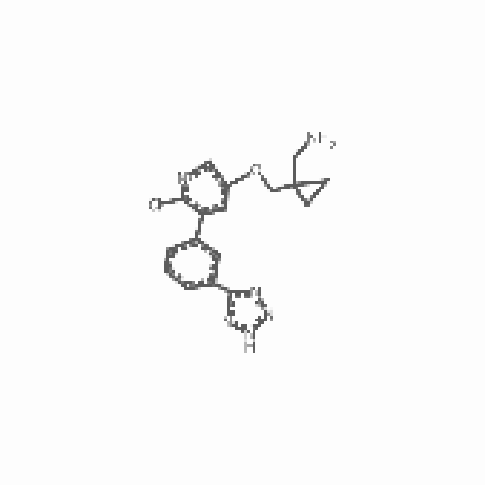 NCC1(COc2cnc(Cl)c(-c3cccc(-c4nn[nH]n4)c3)c2)CC1